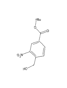 CCCCOC(=O)c1ccc(CO)c([N+](=O)[O-])c1